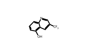 Oc1cccc2ncc(C(F)(F)F)cc12